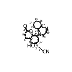 N#CCC(=O)O.O=c1ccc2ccccc2o1.c1ccc2nccnc2c1